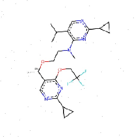 CC(C)c1cnc(C2CC2)nc1N(C)CCO[C@@H](C)c1cnc(C2CC2)nc1OCC(F)(F)F